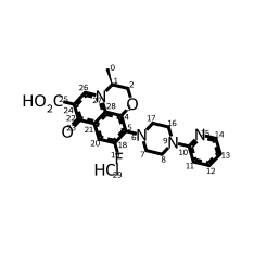 C[C@H]1COc2c(N3CCN(c4ccccn4)CC3)c(F)cc3c(=O)c(C(=O)O)cn1c23.Cl